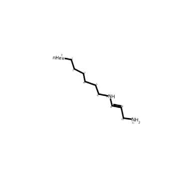 CCCCCCCCCCCCNC=CCN